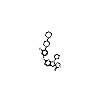 O=C1NCC[C@@]12Cc1cnc(Nc3ccc(N4CCC(N5CCOCC5)CC4)c(F)c3)nc1N2C1CCCC1